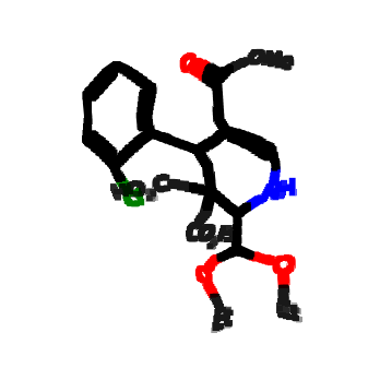 CCOC(=O)C1(C(=O)O)C(c2ccccc2Cl)C(C(=O)OC)=CNC1C(OCC)OCC